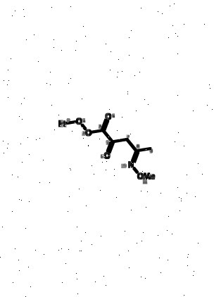 CCOOC(=O)C(=O)CC(C)=NOC